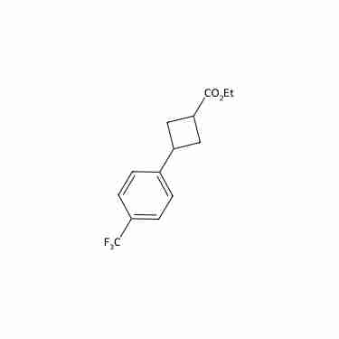 CCOC(=O)C1CC(c2ccc(C(F)(F)F)cc2)C1